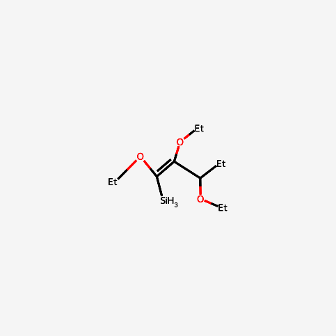 CCOC([SiH3])=C(OCC)C(CC)OCC